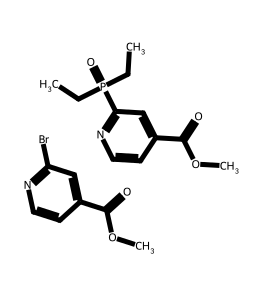 CCP(=O)(CC)c1cc(C(=O)OC)ccn1.COC(=O)c1ccnc(Br)c1